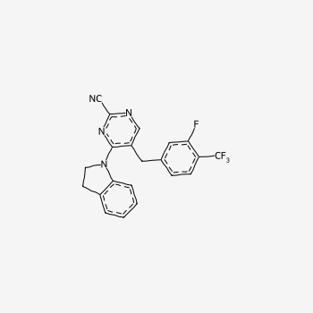 N#Cc1ncc(Cc2ccc(C(F)(F)F)c(F)c2)c(N2CCc3ccccc32)n1